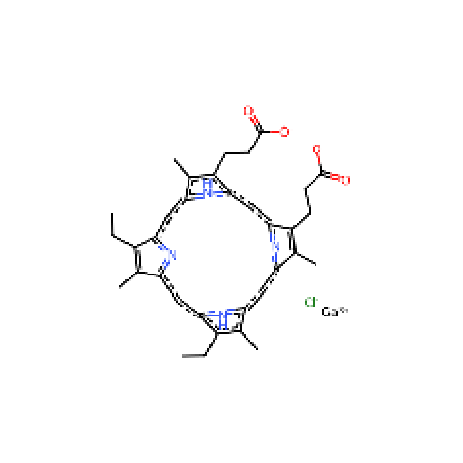 CCC1=C(C)c2cc3[nH]c(cc4nc(cc5[nH]c(cc1n2)c(C)c5CCC(=O)[O-])C(CCC(=O)[O-])=C4C)c(C)c3CC.[Cl-].[Ga+3]